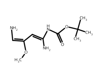 COC(/C=C(\N)NC(=O)OC(C)(C)C)=C/N